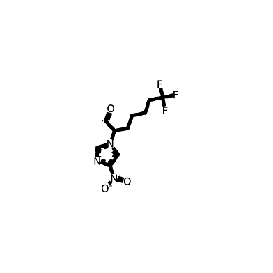 O=[C]C(CCCCC(F)(F)F)n1cnc([N+](=O)[O-])c1